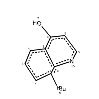 CC(C)(C)c1cccc2c(O)ccnc12